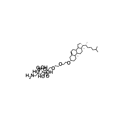 CC(C)CCC[C@@H](C)[C@H]1CCC2C3CC=C4C[C@@H](OCCOCCOCCOC(CCCN)(P(=O)(O)O)P(=O)(O)O)CC[C@]4(C)C3CC[C@@]21C